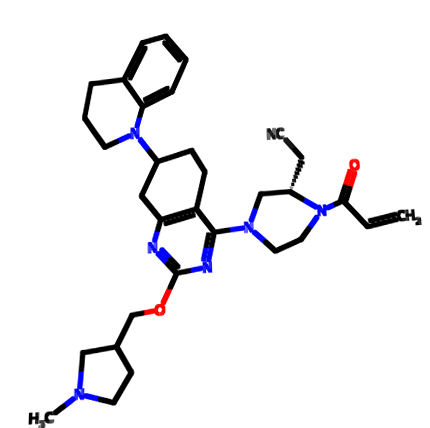 C=CC(=O)N1CCN(c2nc(OCC3CCN(C)C3)nc3c2CCC(N2CCCc4ccccc42)C3)C[C@@H]1CC#N